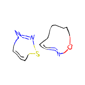 C1=NOCC1.c1csnn1